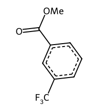 [CH2]OC(=O)c1cccc(C(F)(F)F)c1